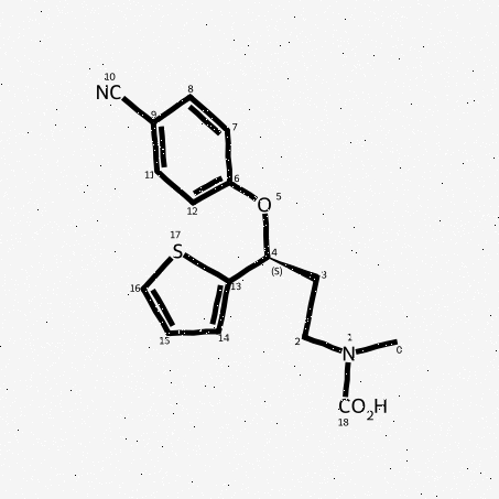 CN(CC[C@H](Oc1ccc(C#N)cc1)c1cccs1)C(=O)O